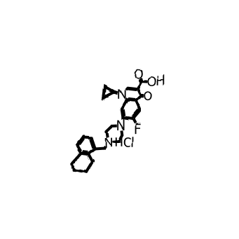 Cl.O=C(O)c1cn(C2CC2)c2cc(N3CCN(Cc4cccc5c4CCCC5)CC3)c(F)cc2c1=O